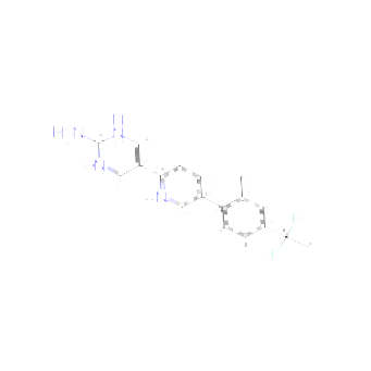 Cc1cc(C(C)(F)F)ccc1-c1ccc(C2=CNC(N)N=C2)nc1